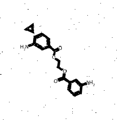 C1CC1.Nc1cccc(C(=O)OCCOC(=O)c2cccc(N)c2)c1